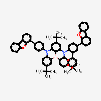 CC(C)(C)c1ccc2c(c1)B1c3ccc(C(C)(C)C)cc3N(c3ccc(-c4cccc5c4oc4ccccc45)cc3-c3ccccc3)c3cc(C(C)(C)C)cc(c31)N2c1ccc(-c2cccc3c2oc2ccccc23)cc1